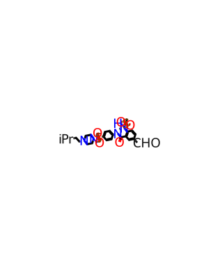 CC(C)CCN1CCN(S(=O)(=O)c2ccc(NC(=O)c3cc(C=O)ccc3N(C)S(C)(=O)=O)cc2)CC1